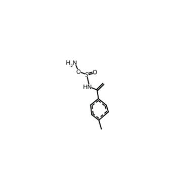 C=C(NS(=O)ON)c1ccc(C)cc1